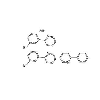 Brc1cccc(-c2ccccn2)c1.Brc1cccc(-c2ccccn2)c1.[Au].c1ccc(-c2ccccn2)cc1